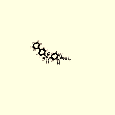 Nc1nc2ccc(NS(=O)(=O)c3ccc(-c4ccccc4)cc3)cc2[nH]1